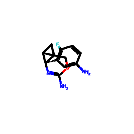 NC1=N[C@@]2(c3cc(N)ccc3F)C3CC32CO1